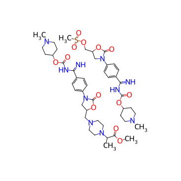 CN1CCC(OC(=O)NC(=N)c2ccc(N3CC(COS(C)(=O)=O)OC3=O)cc2)CC1.COC(=O)C(C)N1CCN(CC2CN(c3ccc(C(=N)NC(=O)OC4CCN(C)CC4)cc3)C(=O)O2)CC1